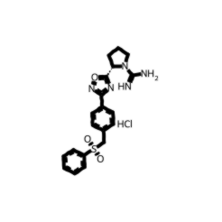 Cl.N=C(N)N1CCC[C@H]1c1nc(-c2ccc(CS(=O)(=O)c3ccccc3)cc2)no1